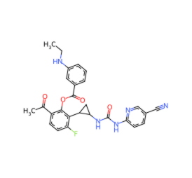 CCNc1cccc(C(=O)Oc2c(C(C)=O)ccc(F)c2C2CC2NC(=O)Nc2ccc(C#N)cn2)c1